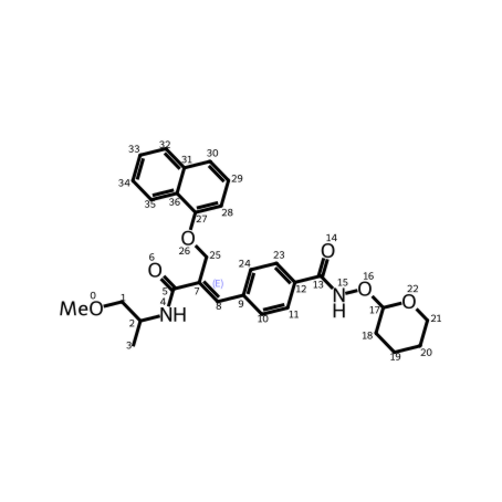 COCC(C)NC(=O)/C(=C/c1ccc(C(=O)NOC2CCCCO2)cc1)COc1cccc2ccccc12